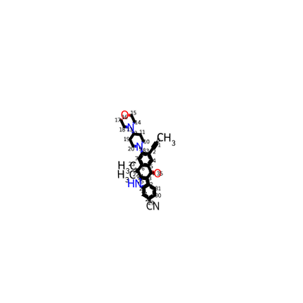 CC#Cc1cc2c(cc1N1CCC(N3CCOCC3)CC1)C(C)(C)c1[nH]c3cc(C#N)ccc3c1C2=O